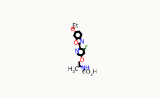 CCOc1ccc2nc(-c3ncc(OC[C@H](C)NC(=O)O)cc3F)oc2c1